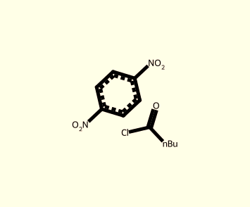 CCCCC(=O)Cl.O=[N+]([O-])c1ccc([N+](=O)[O-])cc1